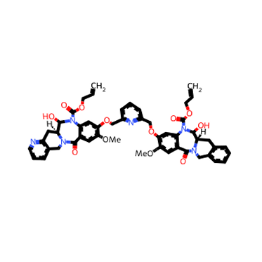 C=CCOC(=O)N1c2cc(OCc3cccc(COc4cc5c(cc4OC)C(=O)N4Cc6cccnc6C[C@H]4C(O)N5C(=O)OCC=C)n3)c(OC)cc2C(=O)N2Cc3ccccc3C[C@H]2C1O